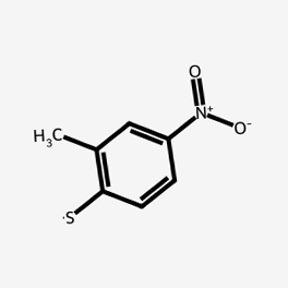 Cc1cc([N+](=O)[O-])ccc1[S]